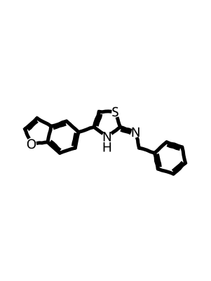 c1ccc(CN=c2[nH]c(-c3ccc4occc4c3)cs2)cc1